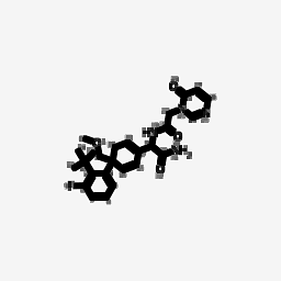 COCC1(c2cccc(F)c2C(C)(C)C)C=CC(C(NC(=O)Cn2cnccc2=O)C(N)=O)=CC1